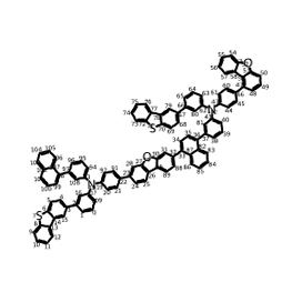 c1cc(-c2ccc3sc4ccccc4c3c2)cc(N(c2ccc(-c3ccc4c(c3)oc3cc(-c5ccc(-c6cccc(N(c7ccc(-c8cccc9oc%10ccccc%10c89)cc7)c7cccc(-c8ccc9sc%10ccccc%10c9c8)c7)c6)c6ccccc56)ccc34)cc2)c2cccc(-c3cccc4ccccc34)c2)c1